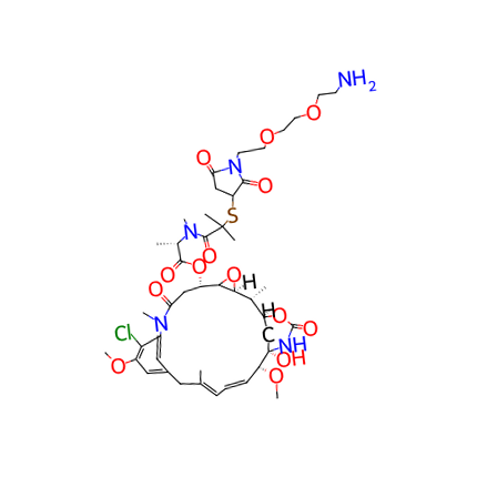 COc1cc2cc(c1Cl)N(C)C(=O)C[C@H](OC(=O)[C@H](C)N(C)C(=O)C(C)(C)SC1CC(=O)N(CCOCCOCCN)C1=O)C1O[C@H]1[C@H](C)[C@@H]1C[C@@](O)(NC(=O)O1)[C@H](OC)/C=C/C=C(\C)C2